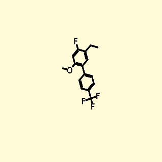 CCc1cc(-c2ccc(C(F)(F)F)cc2)c(OC)cc1F